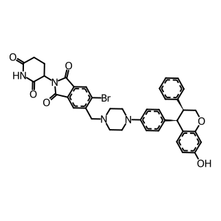 O=C1CCC(N2C(=O)c3cc(Br)c(CN4CCN(c5ccc([C@@H]6c7ccc(O)cc7OC[C@@H]6c6ccccc6)cc5)CC4)cc3C2=O)C(=O)N1